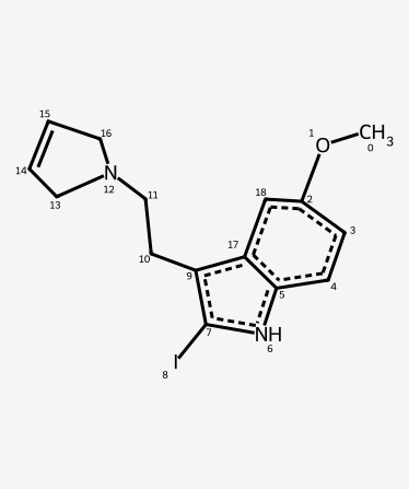 COc1ccc2[nH]c(I)c(CCN3CC=CC3)c2c1